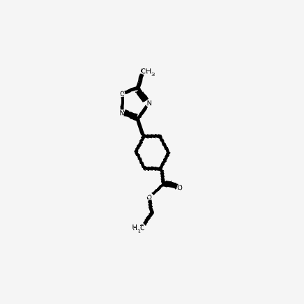 CCOC(=O)C1CCC(c2noc(C)n2)CC1